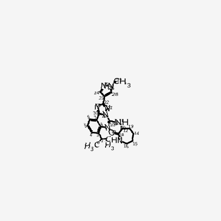 CC(C)c1cccc2c1nc(N[C@@H]1CCCCNC1=O)n1nc(-c3cnn(C)c3)nc21